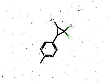 CC(=O)C1C(c2ccc(C)cc2)C1(Cl)Cl